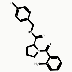 Nc1ccccc1C(=O)N1CCC[C@H]1C(=O)NCc1ccc(Cl)cc1